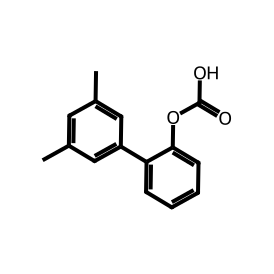 Cc1cc(C)cc(-c2ccccc2OC(=O)O)c1